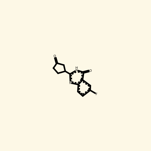 O=C1CCC(c2nc3ccc(F)cc3c(=O)[nH]2)C1